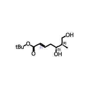 C[C@H](CO)[C@@H](O)C/C=C/C(=O)OC(C)(C)C